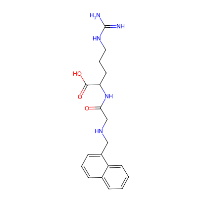 N=C(N)NCCCC(NC(=O)CNCc1cccc2ccccc12)C(=O)O